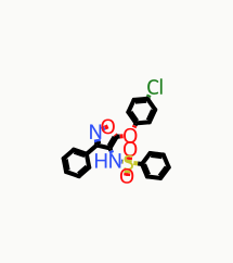 O=S(=O)(Nc1c(-c2ccccc2)noc1Oc1ccc(Cl)cc1)c1ccccc1